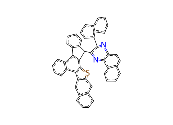 c1ccc2c(c1)-c1c(c3sc4cc5ccccc5cc4c3c3ccccc13)C2c1nc2c(ccc3ccccc32)nc1-c1cccc2ccccc12